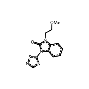 COCCn1c(=O)n(-c2ncns2)c2ccccc21